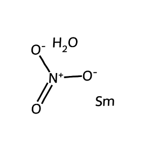 O.O=[N+]([O-])[O-].[Sm]